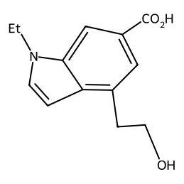 CCn1ccc2c(CCO)cc(C(=O)O)cc21